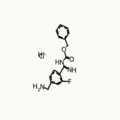 N=C(NC(=O)OCc1ccccc1)c1ccc(CN)cc1F.[Cl-].[H+]